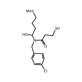 CSCCCC(O)N(Cc1ccc(Cl)cc1)C(=O)CCS